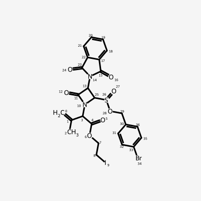 C=C(C)C(C(=O)OCCI)N1C(=O)C(N2C(=O)c3ccccc3C2=O)C1S(=O)OCc1ccc(Br)cc1